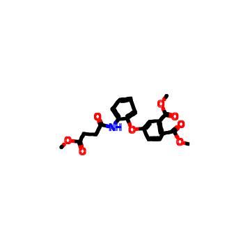 COC(=O)CCC(=O)Nc1ccccc1Oc1ccc(C(=O)OC)c(C(=O)OC)c1